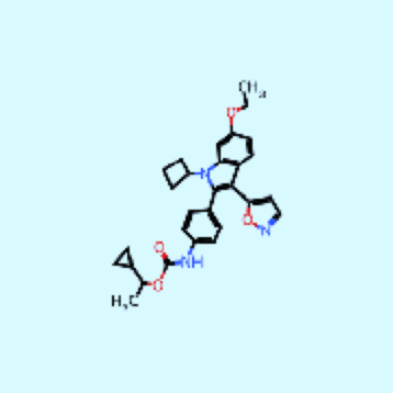 CCOc1ccc2c(-c3ccno3)c(-c3ccc(NC(=O)OC(C)C4CC4)cc3)n(C3CCC3)c2c1